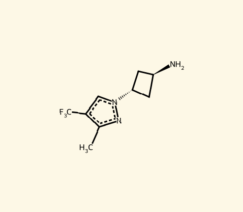 Cc1nn([C@H]2C[C@H](N)C2)cc1C(F)(F)F